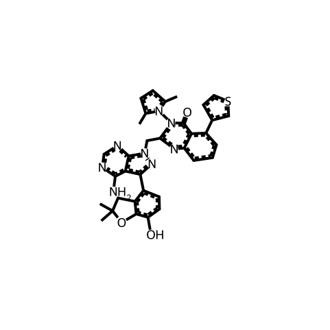 Cc1ccc(C)n1-n1c(Cn2nc(-c3ccc(O)c4c3CC(C)(C)O4)c3c(N)ncnc32)nc2cccc(-c3ccsc3)c2c1=O